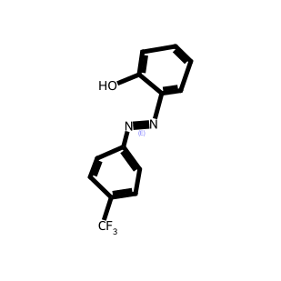 Oc1ccccc1/N=N/c1ccc(C(F)(F)F)cc1